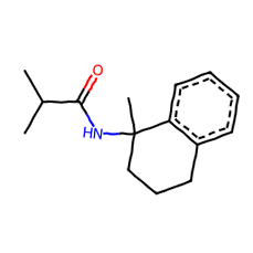 CC(C)C(=O)NC1(C)CCCc2ccccc21